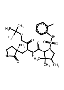 B[C@@]1(C[C@H](NC(=O)[C@H]2N(S(=O)(=O)Nc3ccccc3F)CC(C)C2(C)C)C(=O)COC(C)(C)P)CCNC1=O